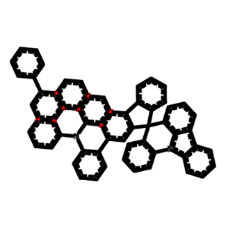 c1ccc(-c2cccc(-c3ccccc3N(c3ccccc3-c3ccccc3)c3ccccc3-c3ccc4c(c3)C3(c5ccccc5-4)c4ccccc4-n4c5ccccc5c5cccc3c54)c2)cc1